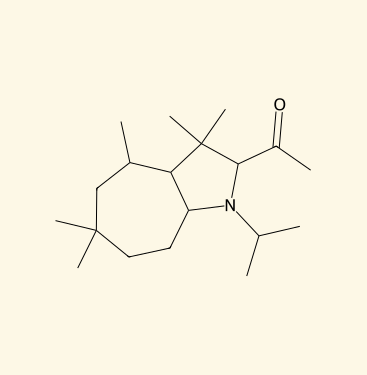 CC(=O)C1N(C(C)C)C2CCC(C)(C)CC(C)C2C1(C)C